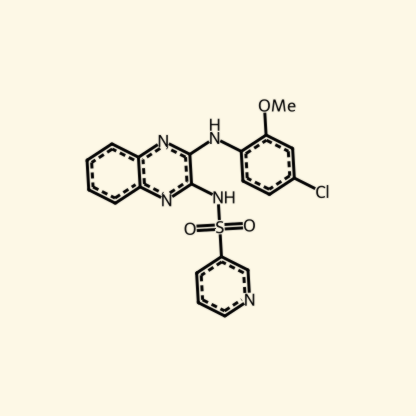 COc1cc(Cl)ccc1Nc1nc2ccccc2nc1NS(=O)(=O)c1cccnc1